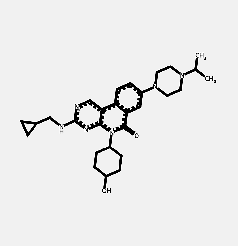 CC(C)N1CCN(c2ccc3c(c2)c(=O)n(C2CCC(O)CC2)c2nc(NCC4CC4)ncc32)CC1